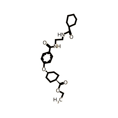 CCOC(=O)[C@H]1CC[C@@H](Oc2ccc(C(=O)NCCNC(=O)C3CCCCC3)cc2)CC1